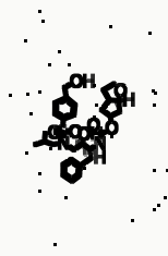 CC(C)CN(C[C@@H](O)[C@H](Cc1ccccc1)NC(=O)OC1CC2CCO[C@@H]2C1)S(=O)(=O)c1ccc(CO)cc1